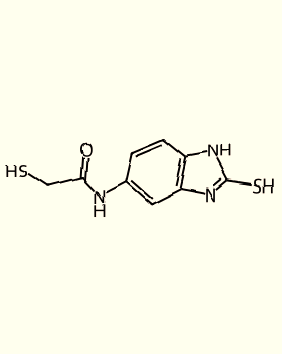 O=C(CS)Nc1ccc2[nH]c(S)nc2c1